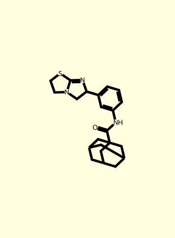 O=C(Nc1cccc(C2CN3CCSC3=N2)c1)C12CC3CC(CC(C3)C1)C2